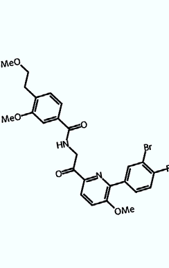 COCCc1ccc(C(=O)NCC(=O)c2ccc(OC)c(-c3ccc(F)c(Br)c3)n2)cc1OC